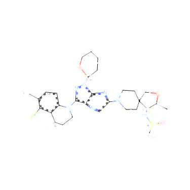 C[C@@H]1OCC2(CCN(c3cnc4c(N5CC[C@H](C)c6c5ccc(C#N)c6F)nn([C@@H]5CCCCO5)c4n3)CC2)[C@@H]1N[S@@+]([O-])C(C)(C)C